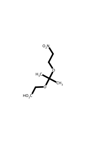 CC(C)(OCC[N+](=O)[O-])OCC(=O)O